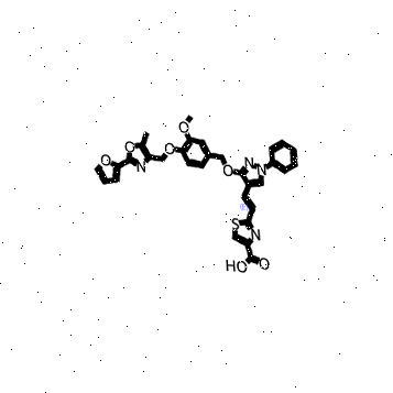 COc1cc(COc2nn(-c3ccccc3)cc2/C=C/c2nc(C(=O)O)cs2)ccc1OCc1nc(-c2ccco2)oc1C